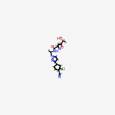 CC(Cn1ccc(-c2ccc(C#N)c(Cl)c2)n1)NC(=O)c1cc(C(C)O)on1